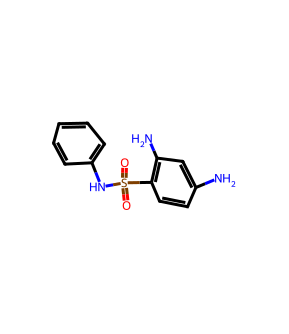 Nc1ccc(S(=O)(=O)Nc2ccccc2)c(N)c1